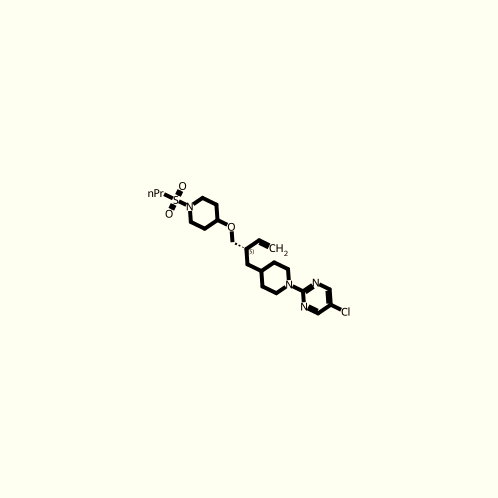 C=C[C@@H](COC1CCN(S(=O)(=O)CCC)CC1)CC1CCN(c2ncc(Cl)cn2)CC1